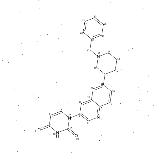 O=c1ccn(-c2cnc3ccc(C4CCCN(Cc5ccccc5)C4)cc3c2)c(=O)[nH]1